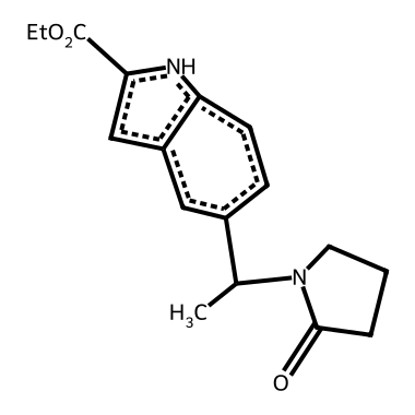 CCOC(=O)c1cc2cc(C(C)N3CCCC3=O)ccc2[nH]1